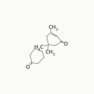 CC1=CC(=O)CC(C)(C)C1.O=C1CCCCC1